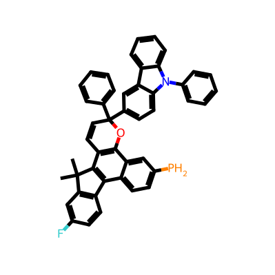 CC1(C)c2cc(F)ccc2-c2c1c1c(c3cc(P)ccc23)OC(c2ccccc2)(c2ccc3c(c2)c2ccccc2n3-c2ccccc2)C=C1